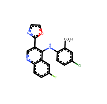 O=C(O)c1cc(Cl)ccc1Nc1c(-c2ncco2)cnc2ccc(F)cc12